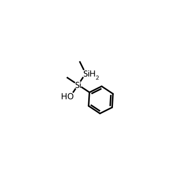 C[SiH2][Si](C)(O)c1ccccc1